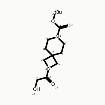 CC(C)(C)OC(=O)N1CCC2(CC1)CN(C(=O)CO)C2